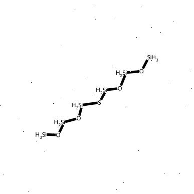 [SiH3]O[SiH2]O[SiH2]S[SiH2]O[SiH2]O[SiH3]